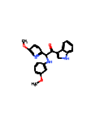 COc1ccc(C(Nc2cccc(OC)c2)C(=O)c2c[nH]c3ccccc23)nc1